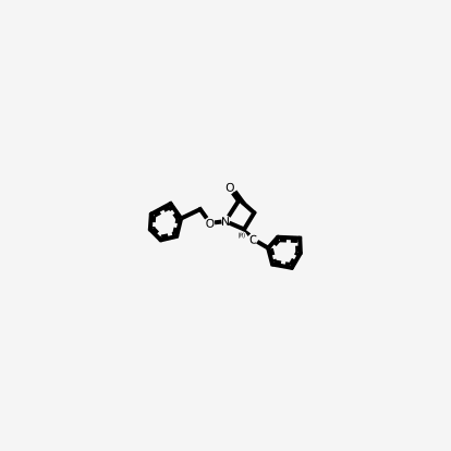 O=C1C[C@@H](Cc2ccccc2)N1OCc1ccccc1